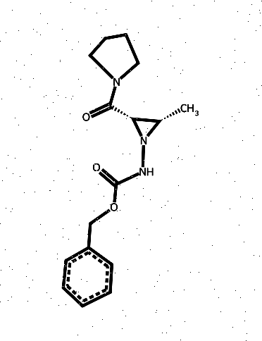 C[C@H]1[C@@H](C(=O)N2CCCC2)N1NC(=O)OCc1ccccc1